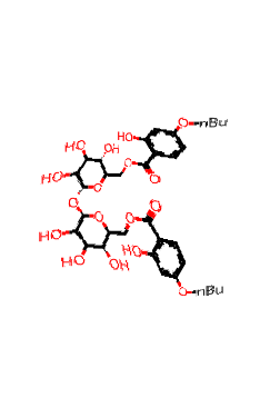 CCCCOc1ccc(C(=O)OCC2O[C@H](O[C@H]3OC(COC(=O)c4ccc(OCCCC)cc4O)[C@@H](O)C(O)C3O)C(O)C(O)[C@@H]2O)c(O)c1